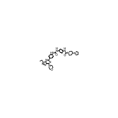 CCn1nnc2c(N3CCOCC3)nc(-c3ccc(NC(=O)Nc4ccc(NC(=O)N5CCC(N6CCCC6)CC5)cc4)cc3)nc21